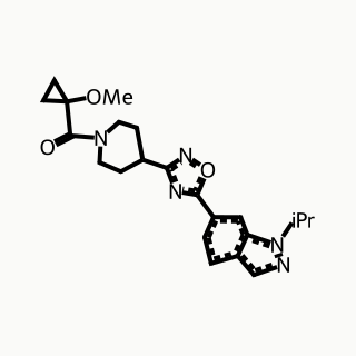 COC1(C(=O)N2CCC(c3noc(-c4ccc5cnn(C(C)C)c5c4)n3)CC2)CC1